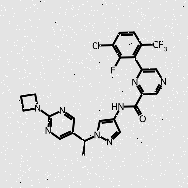 C[C@@H](c1cnc(N2CCC2)nc1)n1cc(NC(=O)c2cncc(-c3c(C(F)(F)F)ccc(Cl)c3F)n2)cn1